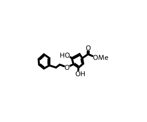 COC(=O)c1cc(O)c(OCCc2ccccc2)c(O)c1